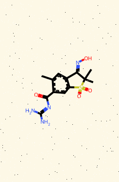 Cc1cc2c(cc1C(=O)N=C(N)N)S(=O)(=O)C(C)(C)C2=NO